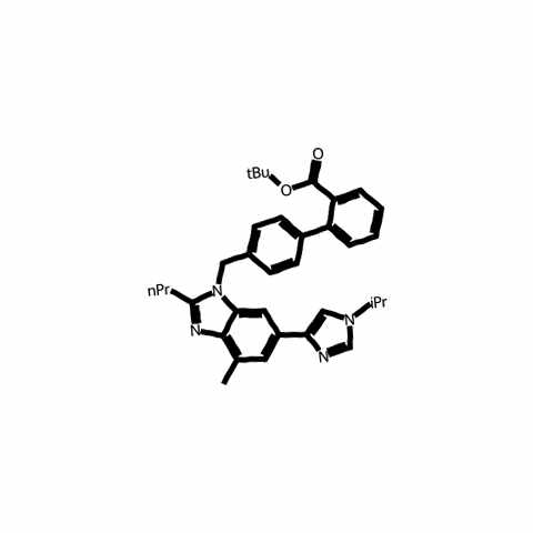 CCCc1nc2c(C)cc(-c3cn(C(C)C)cn3)cc2n1Cc1ccc(-c2ccccc2C(=O)OC(C)(C)C)cc1